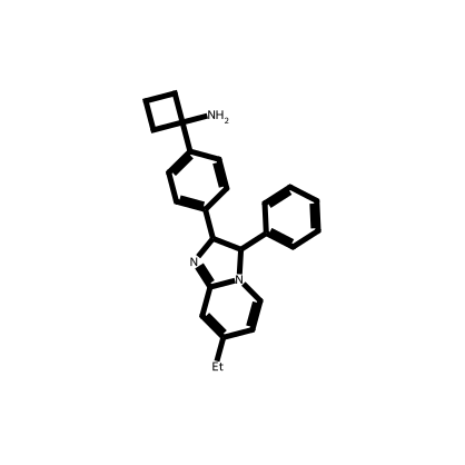 CCC1=CC2=NC(c3ccc(C4(N)CCC4)cc3)C(c3ccccc3)N2C=C1